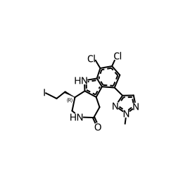 Cn1ncc(-c2cc(Cl)c(Cl)c3[nH]c4c(c23)CC(=O)NC[C@H]4CCI)n1